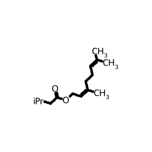 CC(C)=CCC/C(C)=C\COC(=O)CC(C)C